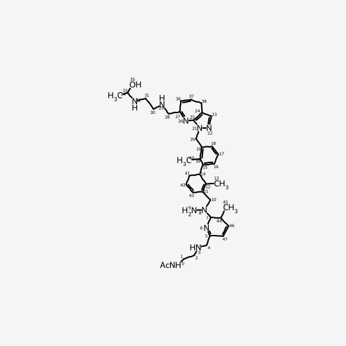 CC(=O)NCCNCC1=NC(N(N)CC2=C(C)C(c3cccc(Cn4ncc5c4N=C(CNCCNC(C)O)C=CC5)c3C)CC=C2)C(C)C=C1